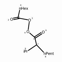 CCCCCCC(=O)OOC(=O)C(CCCCC)C(C)C